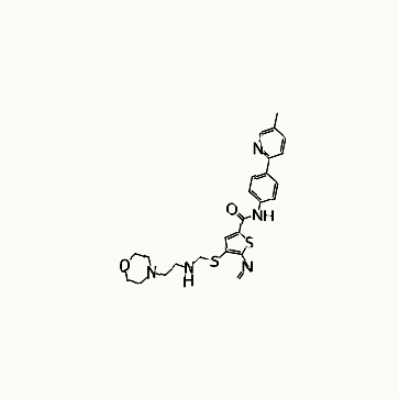 C=Nc1sc(C(=O)Nc2ccc(-c3ccc(C)cn3)cc2)cc1SCNCCN1CCOCC1